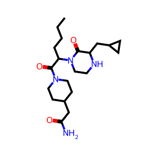 CCCCC(C(=O)N1CCC(CC(N)=O)CC1)N1CCNC(CC2CC2)C1=O